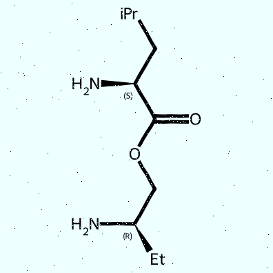 CC[C@@H](N)COC(=O)[C@@H](N)CC(C)C